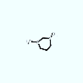 CN1CCCP(C)C1